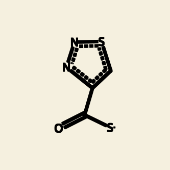 O=C([S])c1csnn1